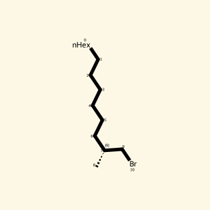 CCCCCCCCCCCC[C@@H](C)CBr